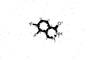 O=c1[nH]ncc2c(F)c(F)ccc12